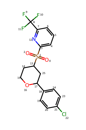 O=S(=O)(c1cccc(C(F)(F)F)n1)C1CCOC(c2ccc(Cl)cc2)C1